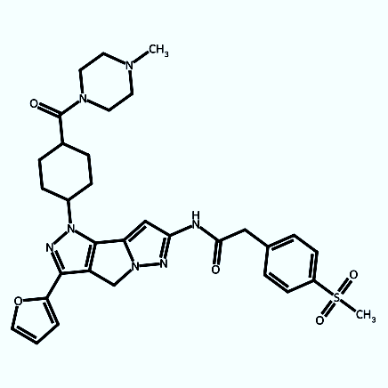 CN1CCN(C(=O)C2CCC(n3nc(-c4ccco4)c4c3-c3cc(NC(=O)Cc5ccc(S(C)(=O)=O)cc5)nn3C4)CC2)CC1